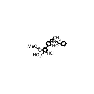 COCCOc1cc(-c2ccc(C[C@@H](C)NC[C@H](O)c3ccccc3)cc2)ccc1C(=O)O.Cl